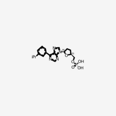 CC(C)c1cccc(-c2ncnc3c2ncn3[C@H]2CC[C@@H](COP(=O)(O)O)O2)c1